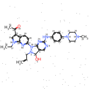 C=CCN1C(O)c2cnc(Nc3ccc(N4CCN(C)CC4)cc3)nc2N1c1ccc2c(C(C)=O)cn(CC)c2n1